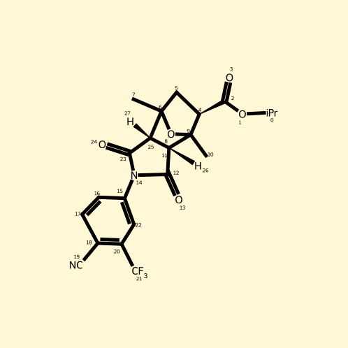 CC(C)OC(=O)[C@@H]1CC2(C)OC1(C)[C@@H]1C(=O)N(c3ccc(C#N)c(C(F)(F)F)c3)C(=O)[C@@H]12